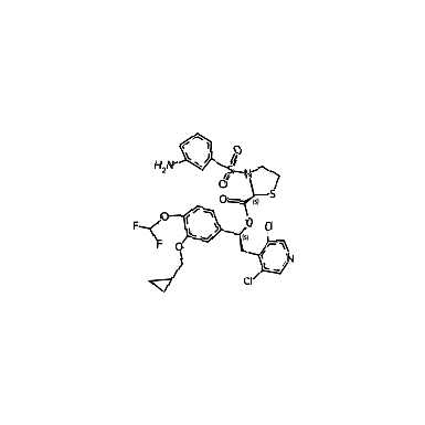 Nc1cccc(S(=O)(=O)N2CCS[C@H]2C(=O)O[C@@H](Cc2c(Cl)cncc2Cl)c2ccc(OC(F)F)c(OCC3CC3)c2)c1